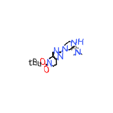 CN(C)C[C@@H]1CN(c2ncc3c(n2)CCN(C(=O)OC(C)(C)C)C3)CCN1